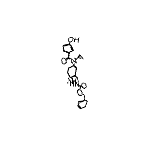 N=C1CCC(N(C(=O)C2C=CC(O)=CC2)C2CC2)CC1CNC(=O)OCC1=CC=CCC1